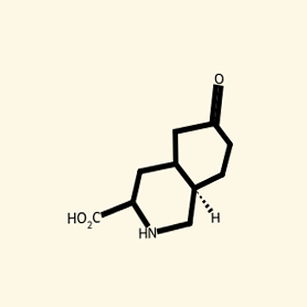 O=C1CC[C@H]2CNC(C(=O)O)CC2C1